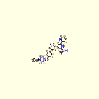 CC(C)Nc1cc(-c2cncc(-c3ccc(CN4CCN(C(C)(C)C)CC4)cc3)c2)cc(-c2ccccn2)n1